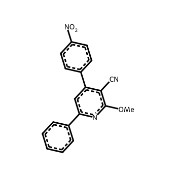 COc1nc(-c2ccccc2)cc(-c2ccc([N+](=O)[O-])cc2)c1C#N